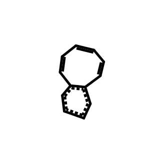 C1=C\C=C/c2ccccc2\C=C/1